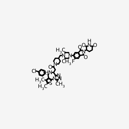 Cc1sc2c(c1C)[C@H](c1ccc(Cl)cc1)NC(CC(=O)N1CCC(CN3C(C)CN(c4cc5c(cc4F)C(=O)N(C4CCC(=O)NC4=O)C5=O)CC3C)CC1)c1nnc(C)n1-2